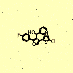 OC(c1cccnc1)c1c(-c2ccc(Cl)s2)coc1-c1ccc(F)cc1